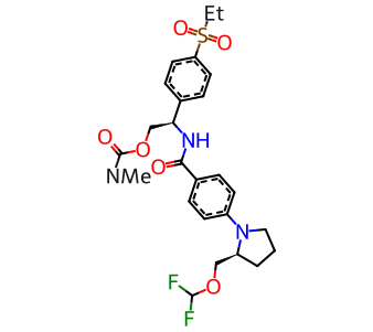 CCS(=O)(=O)c1ccc([C@H](COC(=O)NC)NC(=O)c2ccc(N3CCC[C@H]3COC(F)F)cc2)cc1